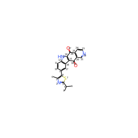 Cc1nc(C(C)C)sc1-c1ccc2[nH]c3c(c2c1)C(=O)c1cnccc1C3=O